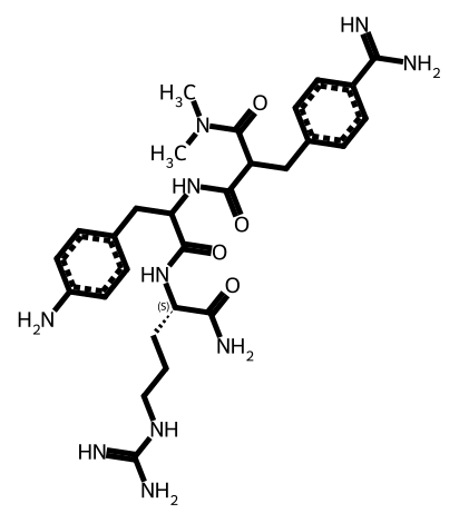 CN(C)C(=O)C(Cc1ccc(C(=N)N)cc1)C(=O)NC(Cc1ccc(N)cc1)C(=O)N[C@@H](CCCNC(=N)N)C(N)=O